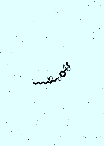 CCCCCCc1cc(CCOc2ccc(C3=NC(C)CO3)cc2)on1